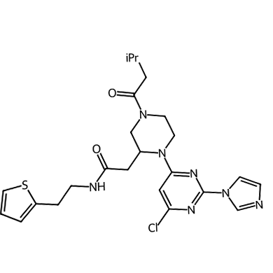 CC(C)CC(=O)N1CCN(c2cc(Cl)nc(-n3ccnc3)n2)C(CC(=O)NCCc2cccs2)C1